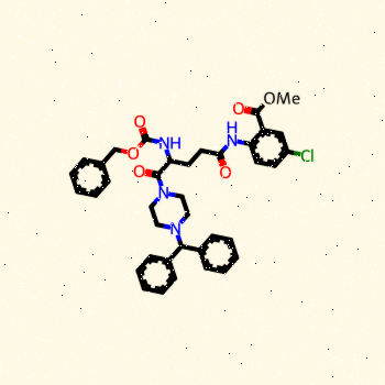 COC(=O)c1cc(Cl)ccc1NC(=O)CCC(NC(=O)OCc1ccccc1)C(=O)N1CCN(C(c2ccccc2)c2ccccc2)CC1